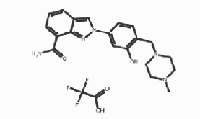 CN1CCN(Cc2ccc(-n3cc4cccc(C(N)=O)c4n3)cc2O)CC1.O=C(O)C(F)(F)F